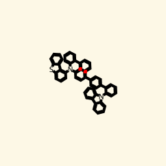 c1ccc(-c2ccccc2N(c2ccc(-c3ccc(-c4ccccc4-n4c5ccccc5c5ccccc54)cc3)cc2)c2cccc3sc4ccccc4c23)cc1